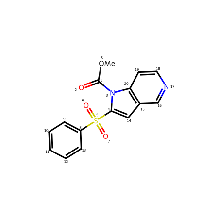 COC(=O)n1c(S(=O)(=O)c2ccccc2)cc2cnccc21